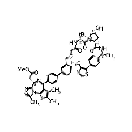 COC(=O)C[C@@H]1N=C(c2ccc(-c3cccc(COCC(=O)N[C@H](C(=O)N4C[C@H](O)C[C@H]4C(=O)N[C@@H](C)c4ccc(-c5scnc5C)cc4)C(C)(C)C)c3)cc2)c2c(sc(C)c2C)-n2c(C)nnc21